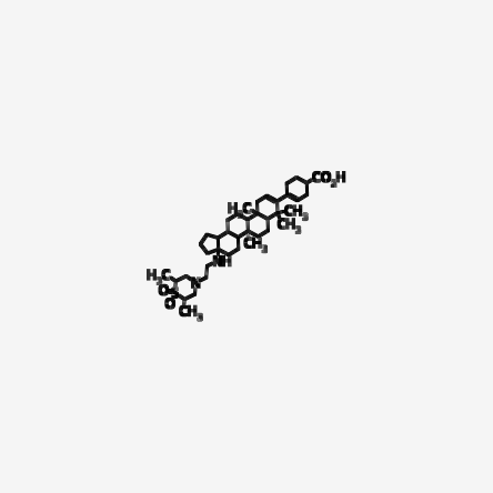 CC1CN(CCNC23CCCC2C2CCC4C5(C)CC=C(C6=CCC(C(=O)O)CC6)C(C)(C)C5CC[C@@]4(C)C2CC3)CC(C)S1(=O)=O